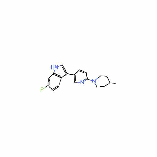 CC1CCN(c2ccc(-c3c[nH]c4cc(F)ccc34)cn2)CC1